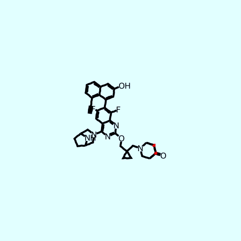 C#Cc1cccc2cc(O)cc(-c3c(F)cc4c(N5CC6CCC(C5)N6)nc(OCC5(CN6CC7CCC6CC7=O)CC5)nc4c3F)c12